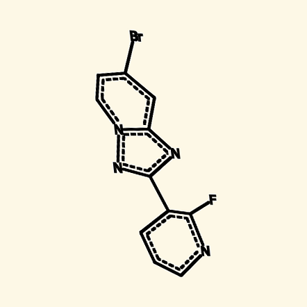 Fc1ncccc1-c1nc2cc(Br)ccn2n1